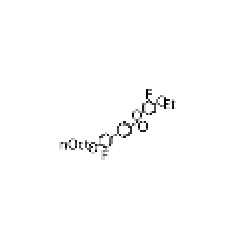 CCCCCCCCOc1ccc(-c2ccc(C(=O)Oc3ccc(OCC)c(F)c3)cc2)cc1F